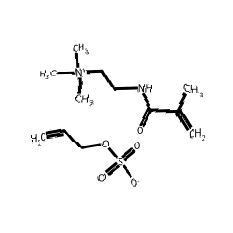 C=C(C)C(=O)NCC[N+](C)(C)C.C=CCOS(=O)(=O)[O-]